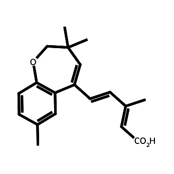 CC(C=CC1=CC(C)(C)COc2ccc(C)cc21)=CC(=O)O